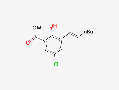 CCCCC=Cc1cc(Cl)cc(C(=O)OC)c1O